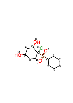 O=S(=O)(C1CCCCC1)C1(Cl)CCC(O)CC1O